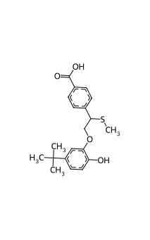 CSC(COc1cc(C(C)(C)C)ccc1O)c1ccc(C(=O)O)cc1